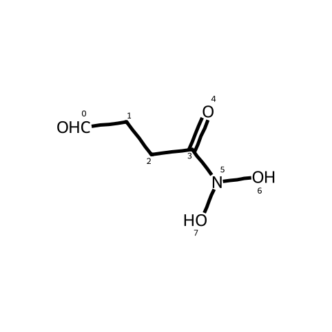 O=CCCC(=O)N(O)O